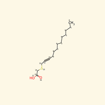 CCCCCCCCCCC#CCSCC(=O)O